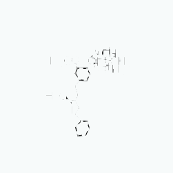 CNC(CCc1ccccc1)CCc1ccc(O[Si](C)(C)C(C)(C)C)c(OC)c1